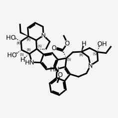 CC[C@]1(O)C[C@@H]2CN(CCc3c([nH]c4ccccc34)[C@@](C(=O)OC)(c3cc4c(cc3OC)N[C@H]3[C@H](O)[C@H](O)[C@]5(CC)C=CCN6CC[C@]43C65)C2)C1